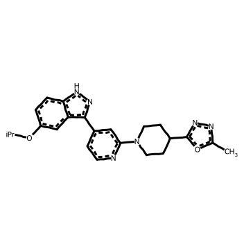 Cc1nnc(C2CCN(c3cc(-c4n[nH]c5ccc(OC(C)C)cc45)ccn3)CC2)o1